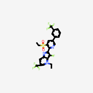 CCn1cc(C(F)(F)F)cc2nc(-c3ncc(-c4cccc(C(F)(F)F)c4)cc3S(=O)(=O)CC)c(F)c1-2